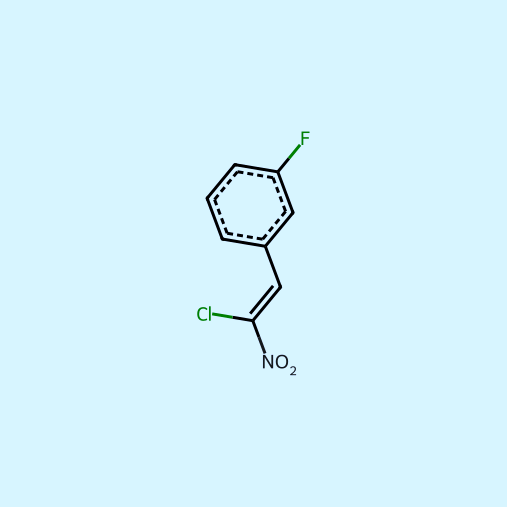 O=[N+]([O-])C(Cl)=Cc1cccc(F)c1